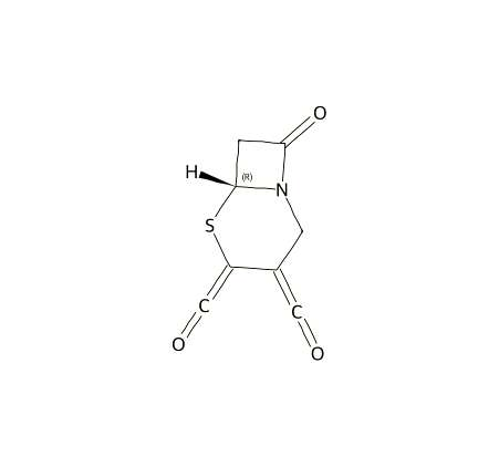 O=C=C1CN2C(=O)C[C@H]2SC1=C=O